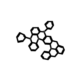 c1ccc(N2c3ccccc3B3c4cc5c(cc4N(c4ccccc4)c4cccc2c43)Cc2cccc3c2B5c2ccccc2C3)cc1